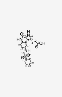 O=C(O)CCc1c[nH]c2c(=O)[nH]c3ccc(NCS(=O)(=O)c4ccccc4)cc3c12